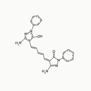 NC1=NN(c2ccccc2)C(=O)\C1=C/C=C/C=C/c1c(N)nn(-c2ccccc2)c1O